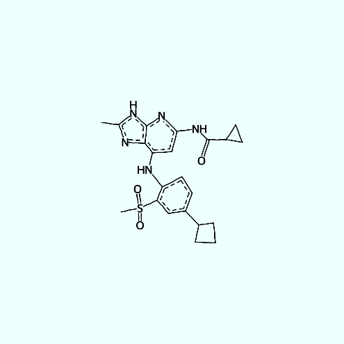 Cc1nc2c(Nc3ccc(C4CCC4)cc3S(C)(=O)=O)cc(NC(=O)C3CC3)nc2[nH]1